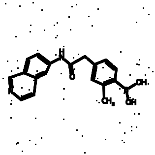 Cc1cc(CC(=O)Nc2ccc3cnccc3c2)ccc1B(O)O